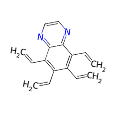 C=Cc1c(C=C)c(C=C)c2nccnc2c1C=C